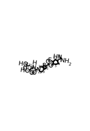 N=C(N)c1ccc(OC(=O)c2cc3c(s2)CN(C(=O)N[C@@H](CC(=O)O)C(=O)O)CC3)c(F)c1